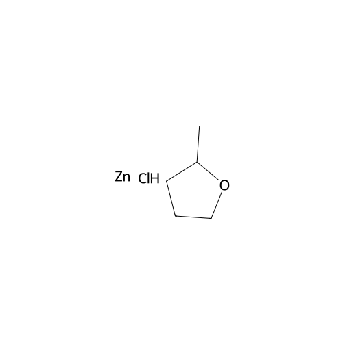 CC1CCCO1.Cl.[Zn]